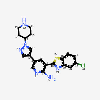 Nc1ncc(-c2cnn(C3CCNCC3)c2)cc1-c1nc2cc(Cl)ccc2s1